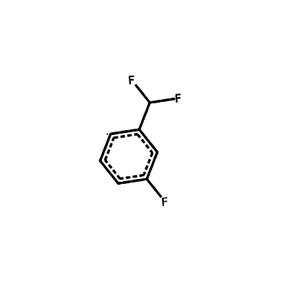 Fc1cc[c]c(C(F)F)c1